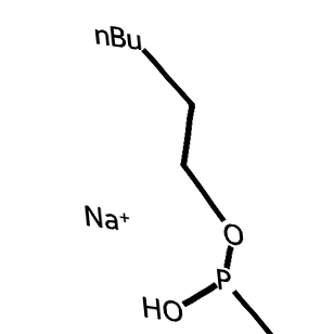 CCCCCCOP([O-])O.[Na+]